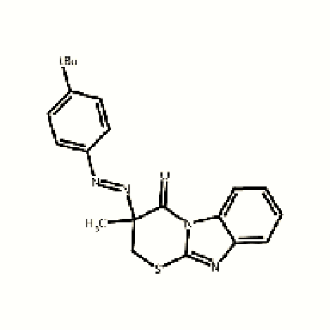 CC1(N=Nc2ccc(C(C)(C)C)cc2)CSc2nc3ccccc3n2C1=O